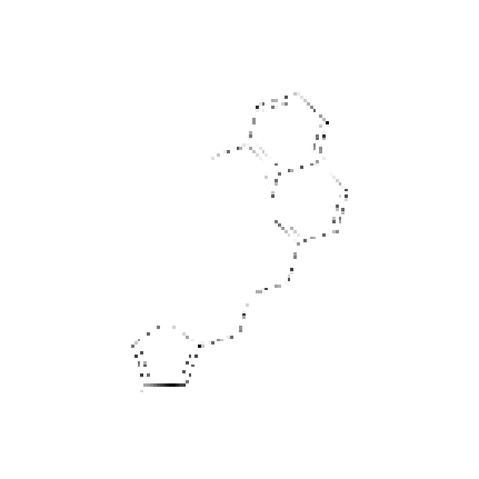 Oc1cccc2ccc(CNCc3cccs3)nc12